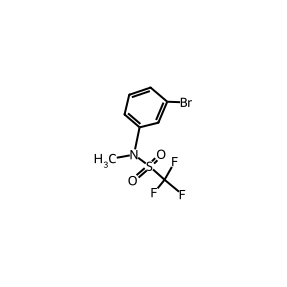 CN(c1cccc(Br)c1)S(=O)(=O)C(F)(F)F